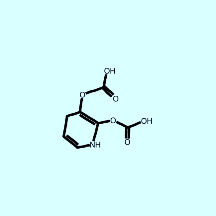 O=C(O)OC1=C(OC(=O)O)NC=CC1